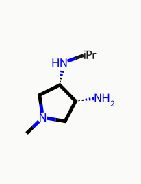 CC(C)N[C@H]1CN(C)C[C@H]1N